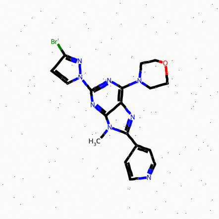 Cn1c(-c2ccncc2)nc2c(N3CCOCC3)nc(-n3ccc(Br)n3)nc21